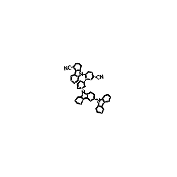 N#Cc1ccc(-n2c3ccccc3c3c(C#N)cccc32)c(-c2cccc(-n3c4ccccc4c4cc(-n5c6ccccc6c6ccccc65)ccc43)c2)c1